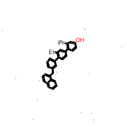 CCc1cc(-c2ccc(O)cc2C(C)C)ccc1-c1cccc(Cc2cccc3ccccc23)c1